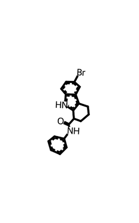 O=C(Nc1ccccc1)C1CCCc2c1[nH]c1ccc(Br)cc21